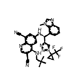 Cn1cnc2cccc([C@H](Nc3cc(C#N)c4ncc(C#N)c(NCC(C)(C)C)c4c3)c3cn(C4(C(F)(F)F)CC4)nn3)c21